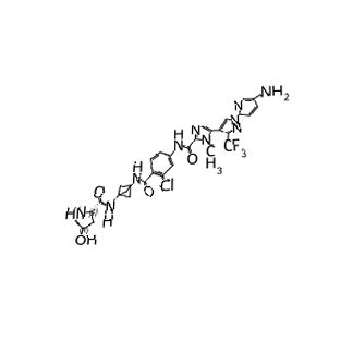 Cn1c(-c2cn(-c3ccc(N)cn3)nc2C(F)(F)F)cnc1C(=O)Nc1ccc(C(=O)NC23CC(NC(=O)[C@@H]4C[C@@H](O)CN4)(C2)C3)c(Cl)c1